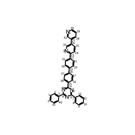 c1ccc(-c2nc(-c3ccccc3)nc(-c3ccc(-c4ccc(-c5ccc(-c6cccnc6)cn5)cc4)cc3)n2)cc1